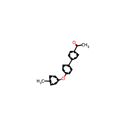 CC(=O)c1ccc(-c2ccc(Oc3ccc(C)cc3)cc2)cc1